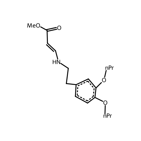 CCCOc1ccc(CCN/C=C/C(=O)OC)cc1OCCC